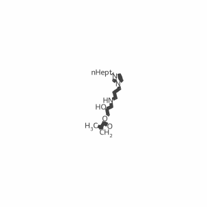 C=C(C)C(=O)OCC(O)CNCCCn1cc[n+](CCCCCCC)c1